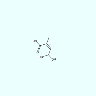 C/C(=C/C(O)O)C(=O)O